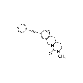 CN1CCC2Cc3ncc(C#Cc4ccccc4)cc3CN2C1=O